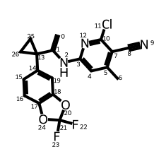 C=C(Nc1cc(C)c(C#N)c(Cl)n1)C1(c2ccc3c(c2)OC(F)(F)O3)CC1